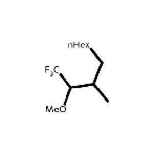 CCCCCCCC(C)C(OC)C(F)(F)F